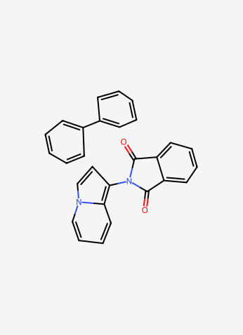 O=C1c2ccccc2C(=O)N1c1ccn2ccccc12.c1ccc(-c2ccccc2)cc1